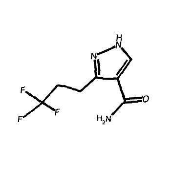 NC(=O)c1c[nH]nc1CCC(F)(F)F